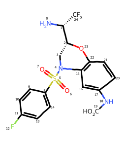 N[C@@H]([C@H]1CN(S(=O)(=O)c2ccc(F)cc2)c2cc(NC(=O)O)ccc2O1)C(F)(F)F